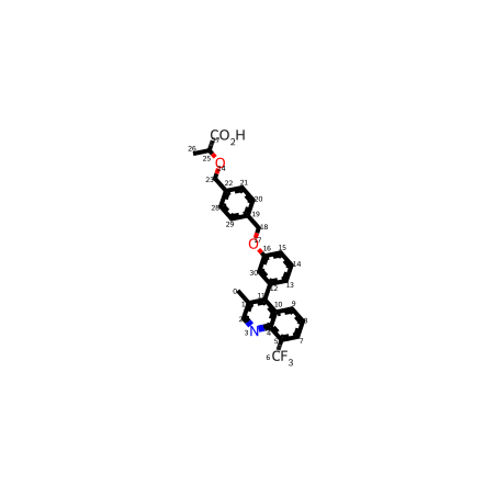 Cc1cnc2c(C(F)(F)F)cccc2c1-c1cccc(OCc2ccc(COC(C)C(=O)O)cc2)c1